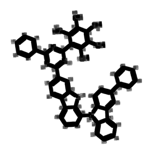 Oc1c(O)c(O)c(-c2nc(-c3ccccc3)nc(-c3ccc4c(c3)sc3c(-n5c6ccccc6c6cc(-c7ccccc7)ccc65)cccc34)n2)c(O)c1O